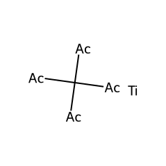 CC(=O)C(C(C)=O)(C(C)=O)C(C)=O.[Ti]